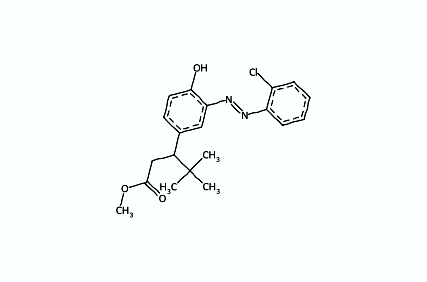 COC(=O)CC(c1ccc(O)c(N=Nc2ccccc2Cl)c1)C(C)(C)C